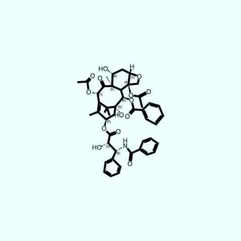 CC(=O)O[C@@H]1C(=O)[C@]2(C)C([C@@H](OC(=O)c3ccccc3)[C@@]3(O)C[C@@H](OC(=O)[C@@H](O)[C@H](NC(=O)c4ccccc4)c4ccccc4)C(C)=C1C3(C)C)[C@@]1(OC(C)=O)CO[C@H]1C[C@H]2O